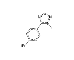 CC(C)c1ccc(-c2ncnn2C)cc1